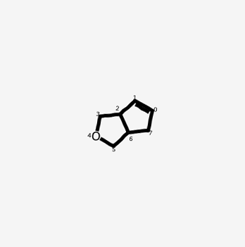 C1=CC2COCC2C1